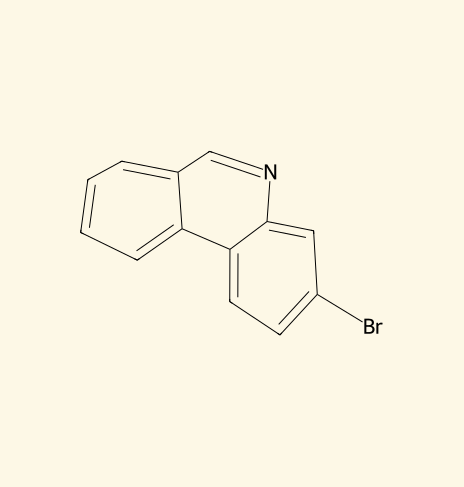 Brc1ccc2c(c1)ncc1ccccc12